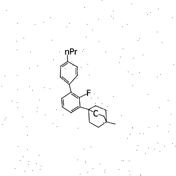 CCCc1ccc(-c2cccc(C34CCC(C)(CC3)CC4)c2F)cc1